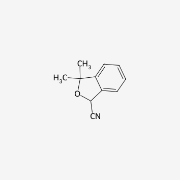 CC1(C)OC(C#N)c2ccccc21